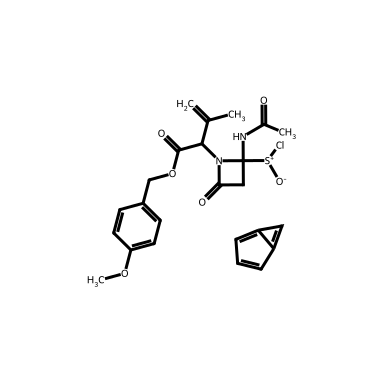 C=C(C)C(C(=O)OCc1ccc(OC)cc1)N1C(=O)CC1(NC(C)=O)[S+]([O-])Cl.c1cc2cc-2c1